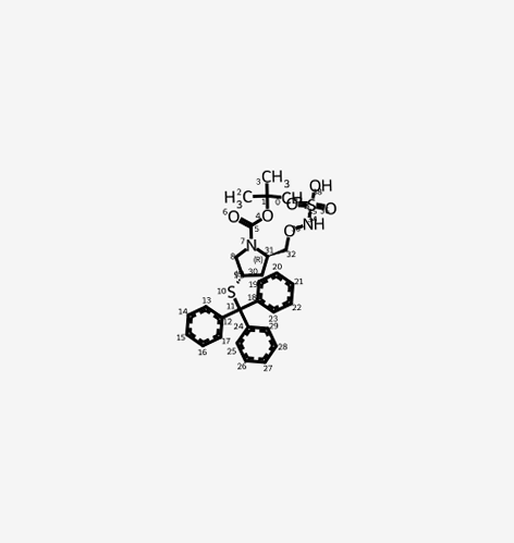 CC(C)(C)OC(=O)N1C[C@@H](SC(c2ccccc2)(c2ccccc2)c2ccccc2)C[C@@H]1CONS(=O)(=O)O